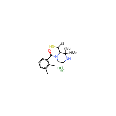 CCCCC1(NC)NCCN(C(=O)c2cccc(C)c2C)C1C(S)CC.Cl.Cl